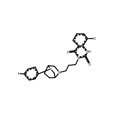 O=c1[nH]c2c(Cl)cccc2c(=O)n1CCCN1CC2CCC1CN2c1ccc(F)cc1